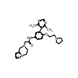 Cc1ncnc(C)c1-c1cc(NC(=O)CN2CCn3nccc3C2)ccc1OCCN1CCCC1